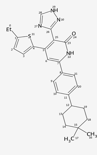 CCc1ccc(-c2cc(-c3ccc(C4CCC(C)(C)CC4)cc3)[nH]c(=O)c2-c2nc[nH]n2)s1